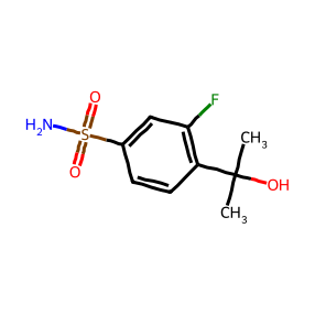 CC(C)(O)c1ccc(S(N)(=O)=O)cc1F